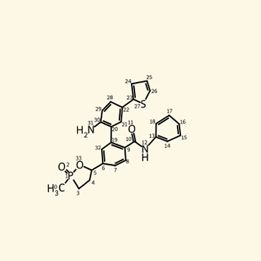 CP1(=O)CCC(c2ccc(C(=O)Nc3ccccc3)c(-c3cc(-c4cccs4)ccc3N)c2)O1